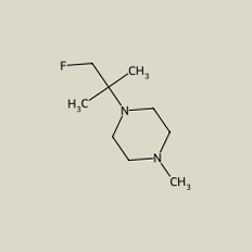 CN1CCN(C(C)(C)CF)CC1